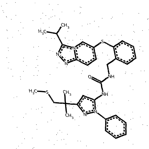 CSCC(C)(C)c1cc(NC(=O)NCc2ccccc2Sc2ccc3nnc(C(C)C)n3c2)n(-c2ccccc2)n1